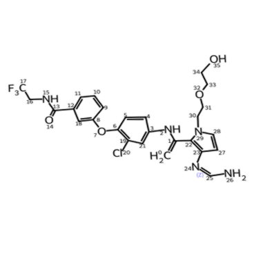 C=C(Nc1ccc(Oc2cccc(C(=O)NCC(F)(F)F)c2)c(Cl)c1)c1c(/N=C\N)ccn1CCOCCO